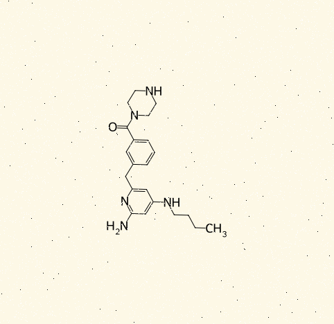 CCCCNc1cc(N)nc(Cc2cccc(C(=O)N3CCNCC3)c2)c1